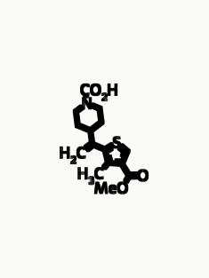 C=C(c1scc(C(=O)OC)c1C)C1CCN(C(=O)O)CC1